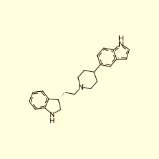 c1ccc2c(c1)NC[C@H]2CCN1CCC(c2ccc3[nH]ccc3c2)CC1